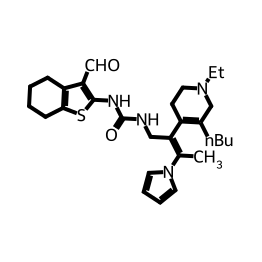 CCCCC1=C(/C(CNC(=O)Nc2sc3c(c2C=O)CCCC3)=C(\C)n2cccc2)CCN(CC)C1